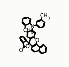 Cc1cccc(N(c2ccc3c(c2)Oc2c(ccc4ccccc24)C32OC(=O)c3ccccc32)c2ccccc2C)c1